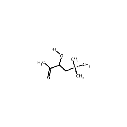 [2H]OC(C[N+](C)(C)C)C(C)=O